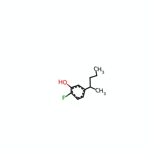 CCCC(C)c1ccc(F)c(O)c1